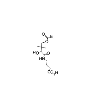 CCC(=O)OCC(C)(C)C(O)C(=O)NCCCC(=O)O